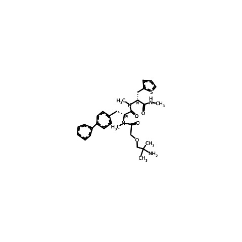 CNC(=O)[C@@H](Cc1cccs1)N(C)C(=O)[C@@H](Cc1ccc(-c2ccccc2)cc1)N(C)C(=O)COCC(C)(C)N